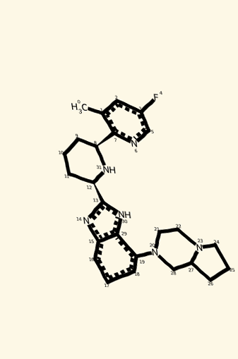 Cc1cc(F)cnc1[C@@H]1CCC[C@H](c2nc3cccc(N4CCN5CCCC5C4)c3[nH]2)N1